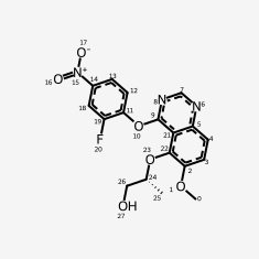 COc1ccc2ncnc(Oc3ccc([N+](=O)[O-])cc3F)c2c1O[C@H](C)CO